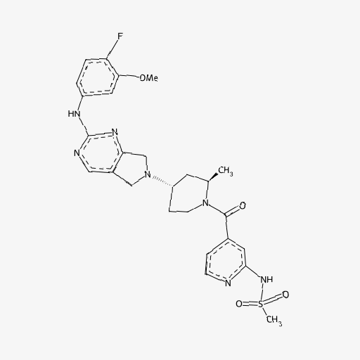 COc1cc(Nc2ncc3c(n2)CN([C@H]2CCN(C(=O)c4ccnc(NS(C)(=O)=O)c4)[C@H](C)C2)C3)ccc1F